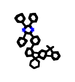 CC1(C)c2ccccc2-c2cc3c(cc21)-c1c(-c2cccc(-c4nc(-c5ccccc5)c(-c5ccccc5)nc4-c4ccccc4)c2)cccc1C31CCCCC1